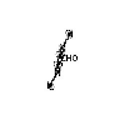 C=CC(=O)OCCCCCCOc1ccc(OC(=O)c2ccc(OC(=O)c3ccc(OCCCCCCOC(=O)C=C)cc3)cc2C=O)cc1